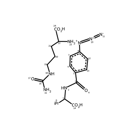 CC(C)C(NC(=O)c1ccc(N=[N+]=[N-])cc1)C(=O)O.NC(=O)NCCCC(N)C(=O)O